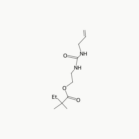 C=CCNC(=O)NCCOC(=O)C(C)(C)CC